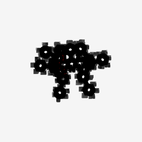 c1ccc(-c2ccc3c(c2)c2cc(-c4ccccc4)ccc2n3-c2nc(-n3c4ccc(-c5ccccc5)cc4c4cc(-c5ccccc5)ccc43)c(-n3c4ccccc4c4ccccc43)c(-c3ccccc3-c3nc(-c4ccccc4)nc(-c4ccccc4)n3)c2-n2c3ccccc3c3ccccc32)cc1